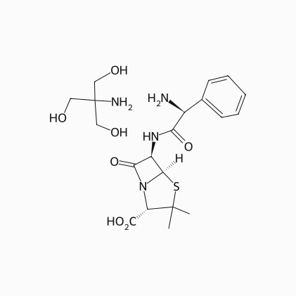 CC1(C)S[C@@H]2[C@H](NC(=O)[C@@H](N)c3ccccc3)C(=O)N2[C@H]1C(=O)O.NC(CO)(CO)CO